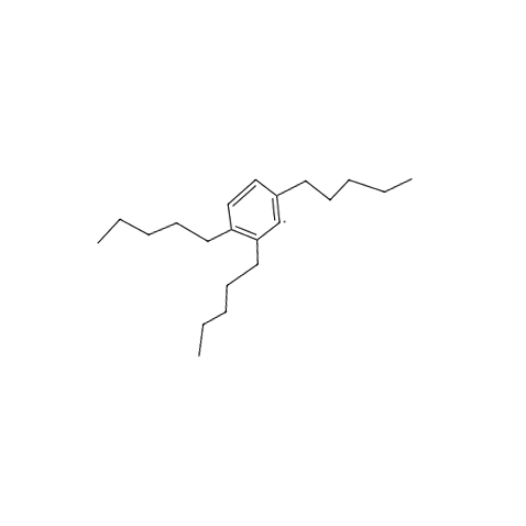 CCCCCc1[c]c(CCCCC)c(CCCCC)cc1